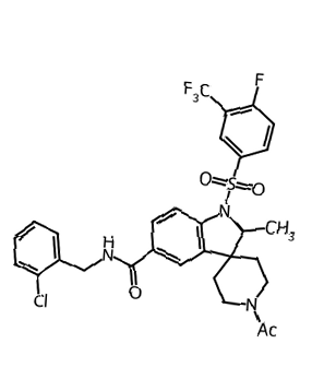 CC(=O)N1CCC2(CC1)c1cc(C(=O)NCc3ccccc3Cl)ccc1N(S(=O)(=O)c1ccc(F)c(C(F)(F)F)c1)C2C